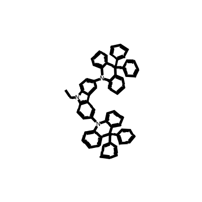 CCn1c2ccc(N3c4ccccc4C(c4ccccc4)(c4ccccc4)c4ccccc43)cc2c2cc(N3c4ccccc4C(c4ccccc4)(c4ccccc4)c4ccccc43)ccc21